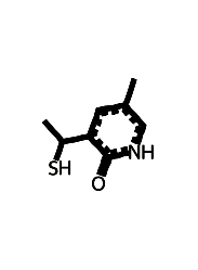 Cc1c[nH]c(=O)c(C(C)S)c1